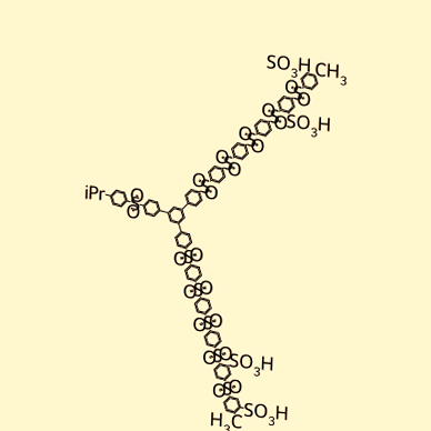 Cc1ccc(S(=O)(=O)c2ccc(S(=O)(=O)c3ccc(S(=O)(=O)c4ccc(S(=O)(=O)c5ccc(S(=O)(=O)c6ccc(-c7cc(-c8ccc(S(=O)(=O)c9ccc(C(C)C)cc9)cc8)cc(-c8ccc(S(=O)(=O)c9ccc(S(=O)(=O)c%10ccc(S(=O)(=O)c%11ccc(S(=O)(=O)c%12ccc(S(=O)(=O)c%13ccc(C)c(S(=O)(=O)O)c%13)cc%12S(=O)(=O)O)cc%11)cc%10)cc9)cc8)c7)cc6)cc5)cc4)cc3)c(S(=O)(=O)O)c2)cc1S(=O)(=O)O